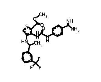 COC(=O)c1scc(NC(C)c2cccc(C(F)(F)F)c2)c1NC(=O)Nc1ccc(C(=N)N)cc1